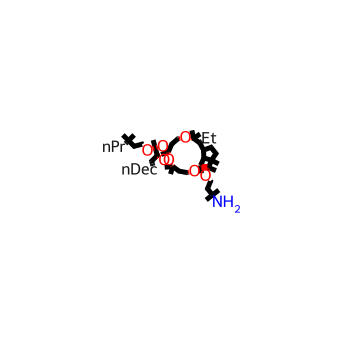 CCCCCCCCCCCC(=O)C(C)(OCCC(C)(C)CCC)OC1(C)CCOC(C)(C)C(CC)C2CCC(C)(C(C)(C)OCCC(C)(C)N)C2C(C)(C)OCCC(C)(C)O1